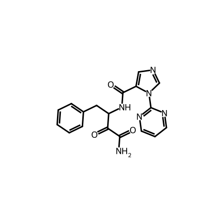 NC(=O)C(=O)C(Cc1ccccc1)NC(=O)c1cncn1-c1ncccn1